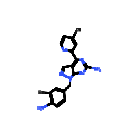 CCc1cc(Cn2ncc3c(-c4cc(C#N)ccn4)nc(N)nc32)ccc1N